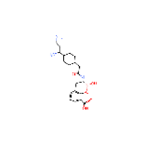 NCCC(N)C1CCC(CC(=O)N[C@H]2Cc3cccc(C(=O)O)c3OB2O)CC1